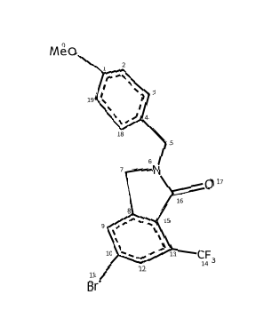 COc1ccc(CN2Cc3cc(Br)cc(C(F)(F)F)c3C2=O)cc1